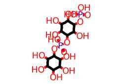 O=P(O)(O)OC1C(O)C(O)C(O)C(OP(=O)(O)OC2C(O)C(O)C(O)C(O)C2O)C1O